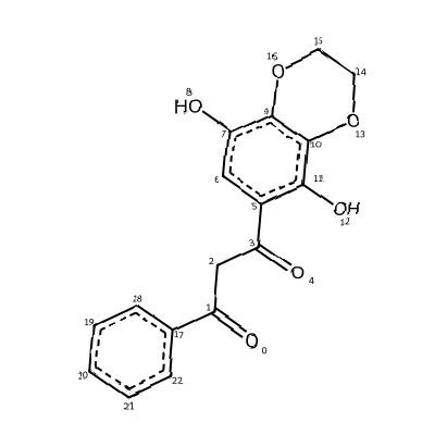 O=C(CC(=O)c1cc(O)c2c(c1O)OCCO2)c1ccccc1